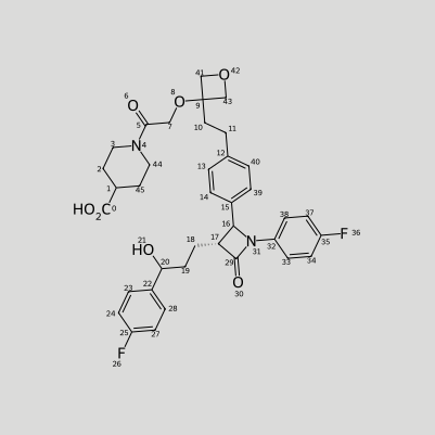 O=C(O)C1CCN(C(=O)COC2(CCc3ccc(C4[C@@H](CCC(O)c5ccc(F)cc5)C(=O)N4c4ccc(F)cc4)cc3)COC2)CC1